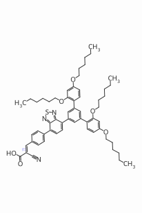 CCCCCCOc1ccc(-c2cc(-c3ccc(OCCCCCC)cc3OCCCCCC)cc(-c3ccc(-c4ccc(/C=C(\C#N)C(=O)O)cc4)c4nsnc34)c2)c(OCCCCCC)c1